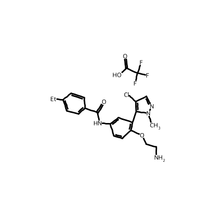 CCc1ccc(C(=O)Nc2ccc(OCCN)c(-c3c(Cl)cnn3C)c2)cc1.O=C(O)C(F)(F)F